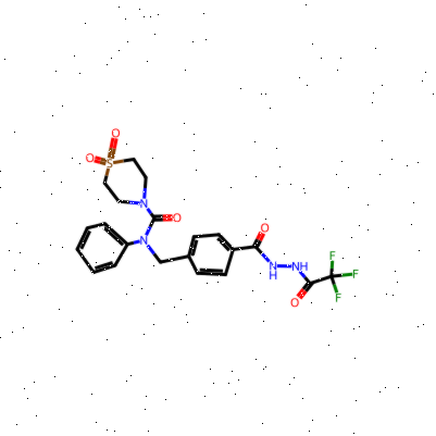 O=C(NNC(=O)C(F)(F)F)c1ccc(CN(C(=O)N2CCS(=O)(=O)CC2)c2ccccc2)cc1